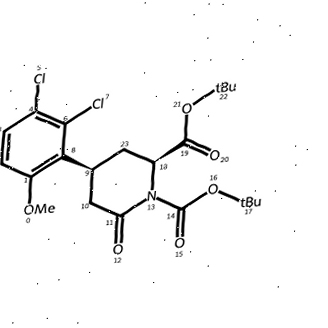 COc1ccc(Cl)c(Cl)c1[C@@H]1CC(=O)N(C(=O)OC(C)(C)C)[C@H](C(=O)OC(C)(C)C)C1